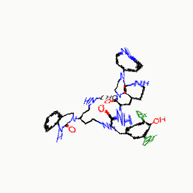 O=CNCCC(CCNC(Cc1cc(Br)c(O)c(Br)c1)C(=O)NC(CC1CCNCC1)C(=O)N1CCN(c2ccncc2)CC1)N1Cc2ccccc2NC1=O